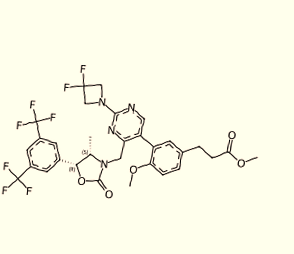 COC(=O)CCc1ccc(OC)c(-c2cnc(N3CC(F)(F)C3)nc2CN2C(=O)O[C@H](c3cc(C(F)(F)F)cc(C(F)(F)F)c3)[C@@H]2C)c1